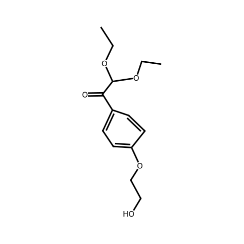 CCOC(OCC)C(=O)c1ccc(OCCO)cc1